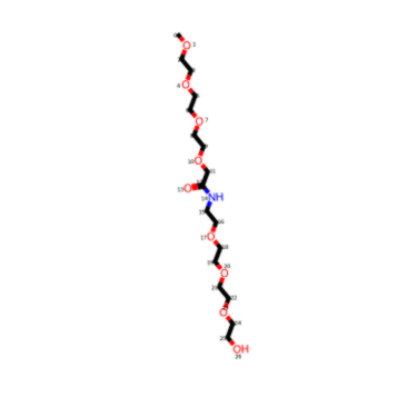 COCCOCCOCCOCC(=O)NCCOCCOCCOCCO